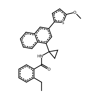 CCc1ccccc1C(=O)NC1(c2cc(-c3ccc(OC)s3)cc3ccccc23)CC1